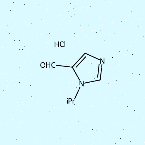 CC(C)n1cncc1C=O.Cl